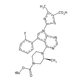 Cc1nc(-n2cc(-c3ccccc3F)c3c(N4CCN(C(=O)OC(C)(C)C)C[C@@H]4C)ncnc32)sc1C(=O)O